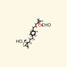 O=COC1(CCCc2ccc(CCCC3(C(=O)O)CC3)cc2)CC1